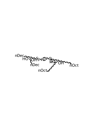 CCCCCCCC/C=C\CCCCCCC(O)CN(CCCC(=O)OCCN1CCN(CCSSCCCCN(CC(O)CCCCCCCCCCCC)CC(O)CCCCCCCCCCCC)CC1)CC(O)CCCCCC/C=C\CCCCCCCC